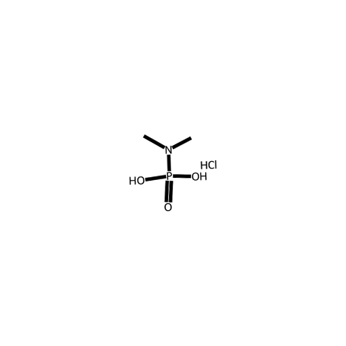 CN(C)P(=O)(O)O.Cl